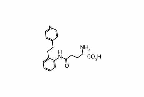 N[C@@H](CCC(=O)Nc1ccccc1CCc1ccncc1)C(=O)O